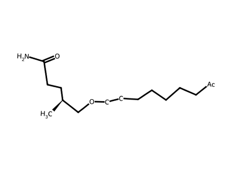 CC(=O)CCCCCCCOC[C@@H](C)CCC(N)=O